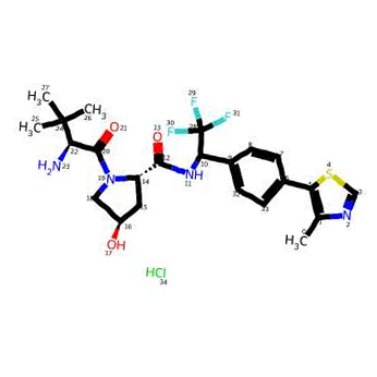 Cc1ncsc1-c1ccc(C(NC(=O)[C@@H]2C[C@@H](O)CN2C(=O)[C@@H](N)C(C)(C)C)C(F)(F)F)cc1.Cl